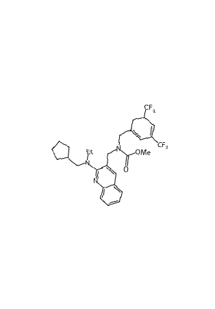 CCN(CC1CCCC1)c1nc2ccccc2cc1CN(CC1=CC(C(F)(F)F)=CC(C(F)(F)F)C1)C(=O)OC